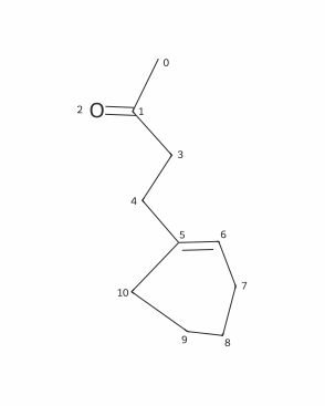 CC(=O)CCC1=CCCCC1